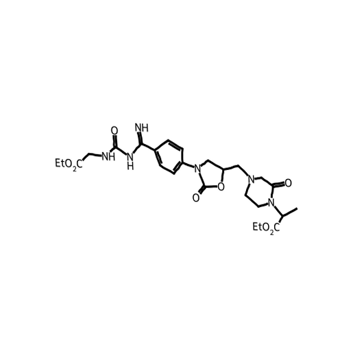 CCOC(=O)CNC(=O)NC(=N)c1ccc(N2CC(CN3CCN(C(C)C(=O)OCC)C(=O)C3)OC2=O)cc1